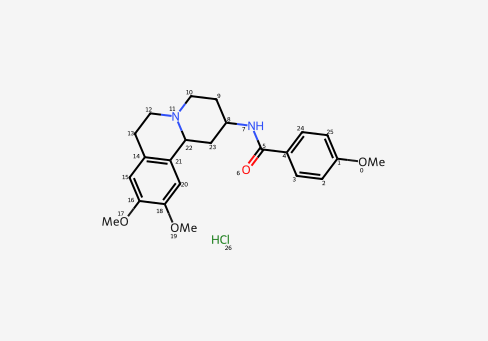 COc1ccc(C(=O)NC2CCN3CCc4cc(OC)c(OC)cc4C3C2)cc1.Cl